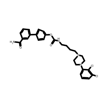 NC(=O)c1cccc(-c2ccc(OC(=O)NCCCCN3CCN(c4cccc(Cl)c4Cl)CC3)cc2)c1